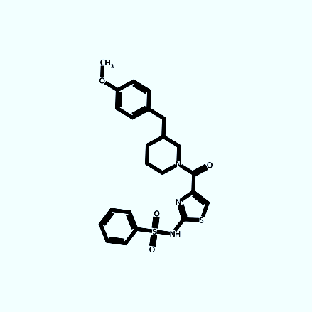 COc1ccc(CC2CCCN(C(=O)c3csc(NS(=O)(=O)c4ccccc4)n3)C2)cc1